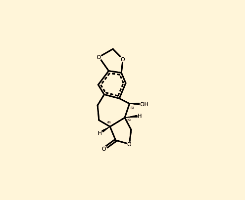 O=C1OC[C@H]2[C@H](O)c3cc4c(cc3CC[C@@H]12)OCO4